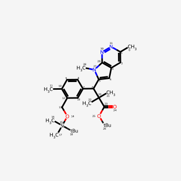 Cc1cc2cc(C(c3ccc(C)c(CO[Si](C)(C)C(C)(C)C)c3)C(C)(C)C(=O)OC(C)(C)C)n(C)c2nn1